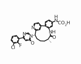 C[C@@H]1CCC[C@H](n2cnc(-c3cccc(Cl)c3F)cc2=O)c2cc(ccn2)-c2ccc(NC(=O)O)cc2NC1=O